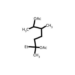 CCC(C)(CCC(C)C(C)OC(C)=O)OC(C)=O